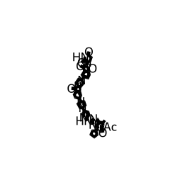 CC(=O)c1c(C)c2cnc(Nc3ccc(N4CCN(C5CCN(C(=O)N6CCN(c7ccc8c(c7)C(=O)C(N7CCC(=O)NC7=O)C8=O)CC6)CC5)CC4)cn3)nc2n(C2CCCC2)c1=O